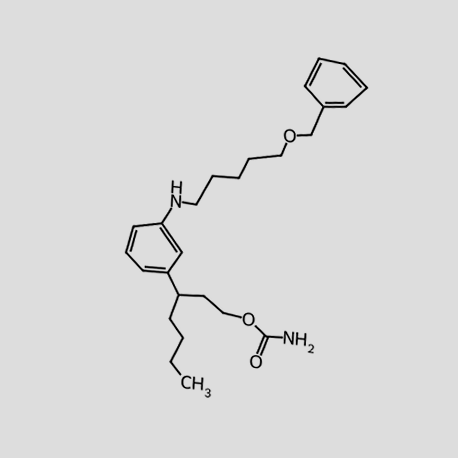 CCCCC(CCOC(N)=O)c1cccc(NCCCCCOCc2ccccc2)c1